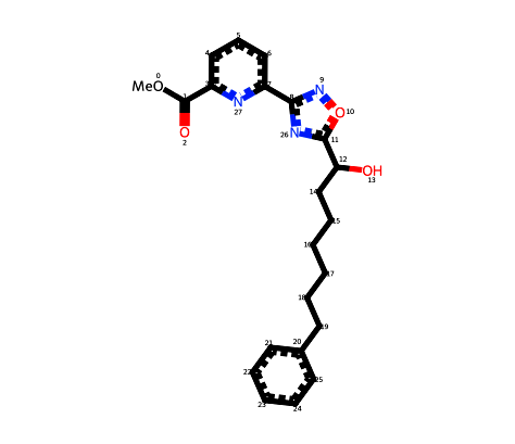 COC(=O)c1cccc(-c2noc(C(O)CCCCCCc3ccccc3)n2)n1